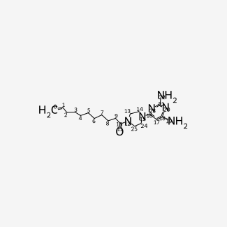 C=CCCCCCCCCC(=O)N1CCN(c2cc(N)nc(N)n2)CC1